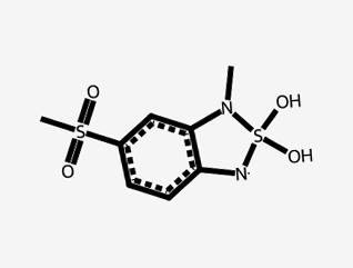 CN1c2cc(S(C)(=O)=O)ccc2[N]S1(O)O